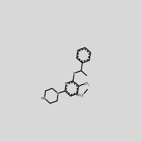 CC(=O)O.CC(Oc1nc(N2CCNCC2)ccc1C(F)(F)F)c1ccccc1